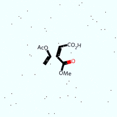 C=COC(C)=O.COC(=O)/C=C\C(=O)O